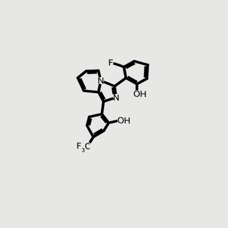 Oc1cc(C(F)(F)F)ccc1-c1nc(-c2c(O)cccc2F)n2ccccc12